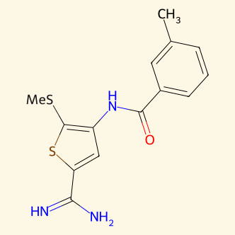 CSc1sc(C(=N)N)cc1NC(=O)c1cccc(C)c1